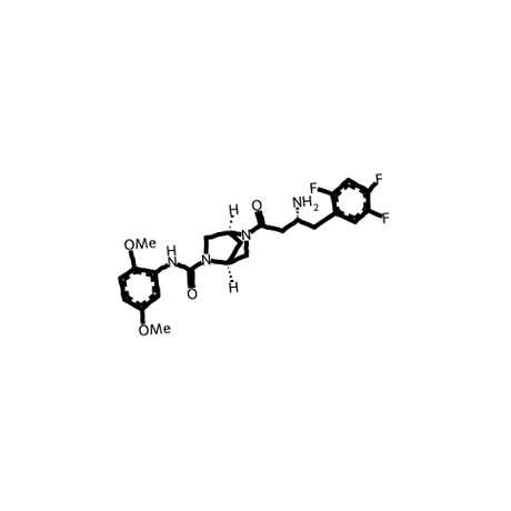 COc1ccc(OC)c(NC(=O)N2C[C@@H]3C[C@H]2CN3C(=O)C[C@H](N)Cc2cc(F)c(F)cc2F)c1